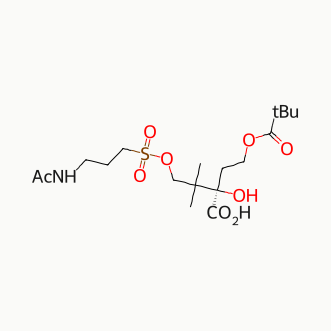 CC(=O)NCCCS(=O)(=O)OCC(C)(C)[C@](O)(CCOC(=O)C(C)(C)C)C(=O)O